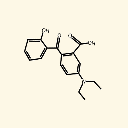 CCN(CC)c1ccc(C(=O)c2ccccc2O)c(C(=O)O)c1